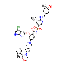 CC(C)c1ccccc1[C@@H]1COCCN1C1CC2(CCN(c3ccc(C(=O)NS(=O)(=O)c4cnc(NCC5CCC(C)(O)CC5)c([N+](=O)[O-])c4)c(Oc4cnc5[nH]cc(Cl)c5c4)c3)CC2)C1